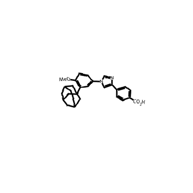 COc1ccc(-n2cnc(-c3ccc(C(=O)O)cc3)c2)cc1C12CC3CC(CC(C3)C1)C2